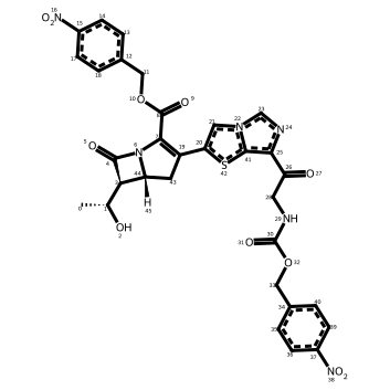 C[C@@H](O)[C@H]1C(=O)N2C(C(=O)OCc3ccc([N+](=O)[O-])cc3)=C(c3cn4cnc(C(=O)CNC(=O)OCc5ccc([N+](=O)[O-])cc5)c4s3)C[C@H]12